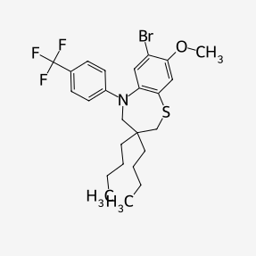 CCCCC1(CCCC)CSc2cc(OC)c(Br)cc2N(c2ccc(C(F)(F)F)cc2)C1